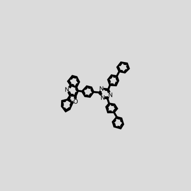 c1ccc(-c2ccc(-c3nc(-c4ccc(-c5ccccc5)cc4)nc(-c4ccc(-c5c6ccccc6nc6c5oc5ccccc56)cc4)n3)cc2)cc1